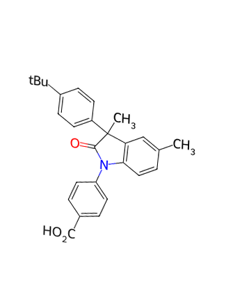 Cc1ccc2c(c1)C(C)(c1ccc(C(C)(C)C)cc1)C(=O)N2c1ccc(C(=O)O)cc1